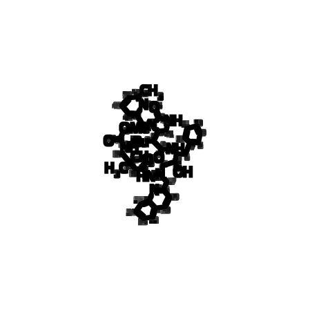 CCC(C)C(C(=O)NC(Cc1ccccc1)C(O)CN(Cc1ccc2ccccc2n1)NC(=O)CC(C)(C)CNC(=O)OC)C1CNC(=O)N1Cc1cccc(C)n1